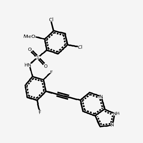 COc1c(Cl)cc(Cl)cc1S(=O)(=O)Nc1ccc(F)c(C#Cc2cnc3[nH]ncc3c2)c1F